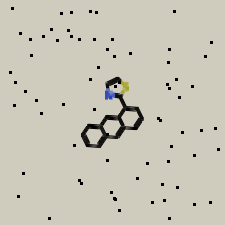 c1ccc2cc3c(-c4nccs4)cccc3cc2c1